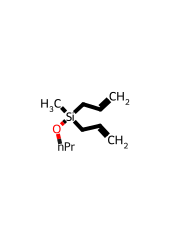 C=CC[Si](C)(CC=C)OCCC